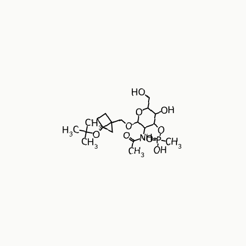 CC(=O)NC1C(OCC23CCC2(OC(C)(C)C)C3)OC(CO)C(O)C1OP(C)(=O)O